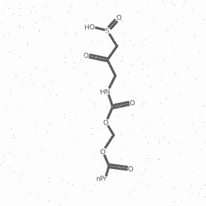 CCCC(=O)OCOC(=O)NCC(=O)CS(=O)O